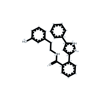 O=C(NCCc1cccc(O)c1)c1ccccc1-c1cc(-c2ccccc2)[nH]n1